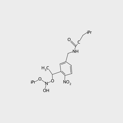 CC(C)CCC(=O)NCc1ccc([N+](=O)[O-])c(C(C)ON(O)OC(C)C)c1